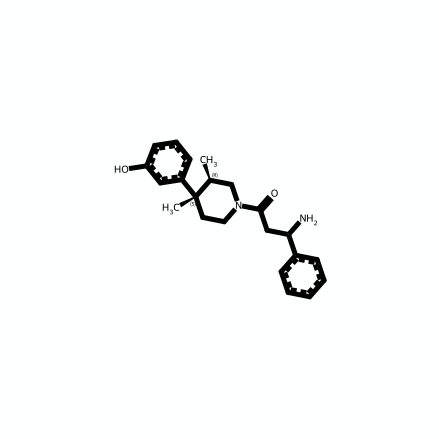 C[C@H]1CN(C(=O)CC(N)c2ccccc2)CC[C@]1(C)c1cccc(O)c1